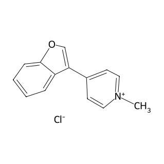 C[n+]1ccc(-c2coc3ccccc23)cc1.[Cl-]